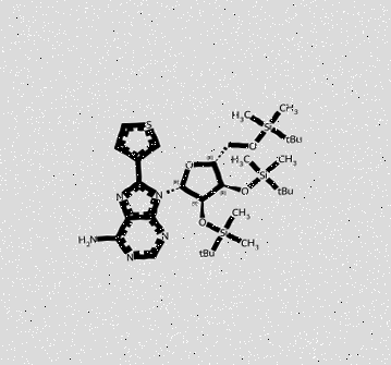 CC(C)(C)[Si](C)(C)OC[C@H]1O[C@@H](n2c(-c3ccsc3)nc3c(N)ncnc32)[C@H](O[Si](C)(C)C(C)(C)C)[C@@H]1O[Si](C)(C)C(C)(C)C